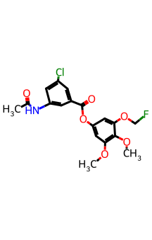 COc1cc(OC(=O)c2cc(Cl)cc(NC(C)=O)c2)cc(OCF)c1OC